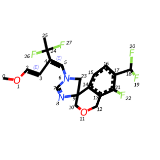 CO/C=C/C(=C\N1C=NC2(COCc3c2ccc(C(F)F)c3F)C1)C(C)(F)F